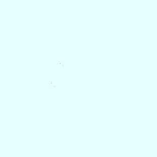 S=CC1=NNCS1